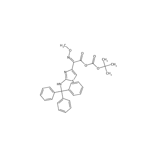 CON=C(C(=O)OC(=O)OC(C)(C)C)c1csc(NC(c2ccccc2)(c2ccccc2)c2ccccc2)n1